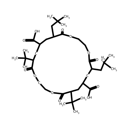 CC(C)(C)CC1CC(C(=O)O)CC(C(C)(C)C)C(=O)OCCOC(=O)C(C(C)(C)C)CC(C(=O)O)CC(CC(C)(C)C)C(=O)OCCOC1=O